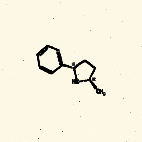 C[C@@H]1CC[C@@H](c2ccccc2)N1